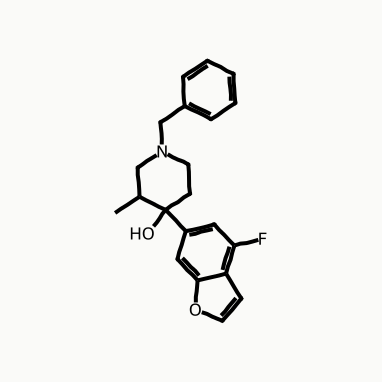 CC1CN(Cc2ccccc2)CCC1(O)c1cc(F)c2ccoc2c1